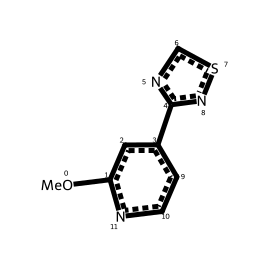 COc1cc(-c2ncsn2)ccn1